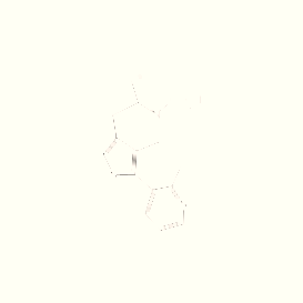 CC(C)(C)C(Cc1c[nH]c(-c2cccnc2Cl)c1F)NC(=O)O